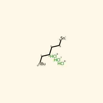 CCCCCCC[CH2][Sn].Cl.Cl.Cl